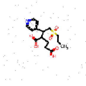 CCCS(=O)(=O)CC(c1ccncc1)C(CCC(=O)O)C(=O)O